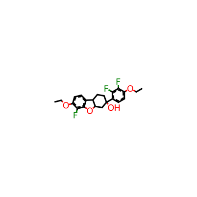 CCOc1ccc(C2(O)CCC3c4ccc(OCC)c(F)c4OC3C2)c(F)c1F